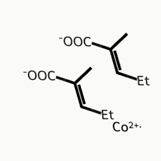 [CH2]CC=C(C)C(=O)[O-].[CH2]CC=C(C)C(=O)[O-].[Co+2]